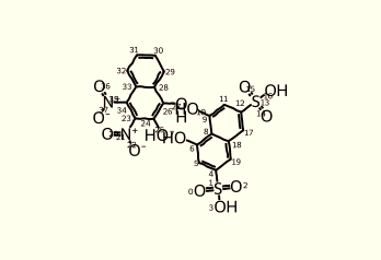 O=S(=O)(O)c1cc(O)c2c(O)cc(S(=O)(=O)O)cc2c1.O=[N+]([O-])c1c(O)c(O)c2ccccc2c1[N+](=O)[O-]